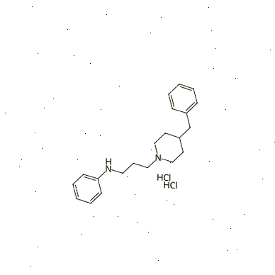 Cl.Cl.c1ccc(CC2CCN(CCCNc3ccccc3)CC2)cc1